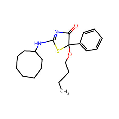 CCCCOC1(c2ccccc2)SC(NC2CCCCCCC2)=NC1=O